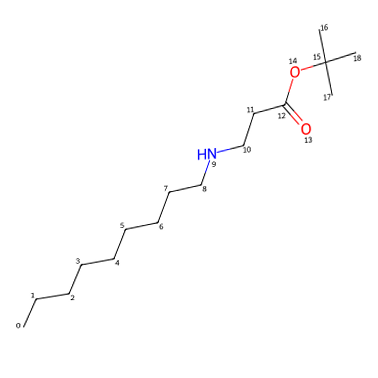 CCCCCCCCCNCCC(=O)OC(C)(C)C